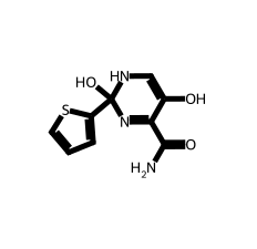 NC(=O)C1=NC(O)(c2cccs2)NC=C1O